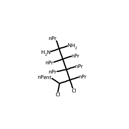 CCCCCC(Cl)C(Cl)(CCC)C(CCC)(CCC)C(CCC)(CCC)C(N)(N)CCC